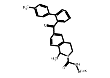 CCCCCCNC(=O)N1CCc2cc(C(=O)c3ccccc3-c3ccc(C(F)(F)F)cc3)ccc2C1N